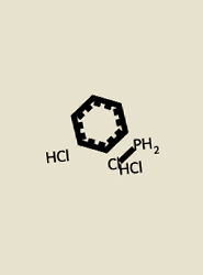 Cl.Cl.PCl.c1ccccc1